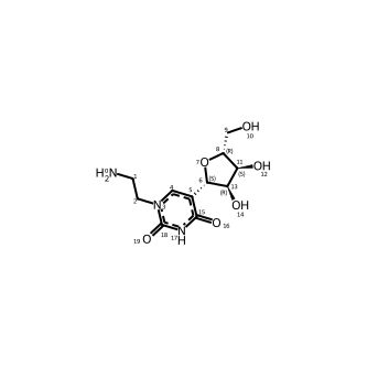 NCCn1cc([C@@H]2O[C@H](CO)[C@@H](O)[C@H]2O)c(=O)[nH]c1=O